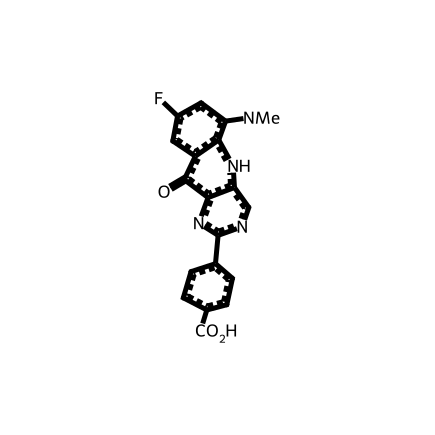 CNc1cc(F)cc2c(=O)c3nc(-c4ccc(C(=O)O)cc4)ncc3[nH]c12